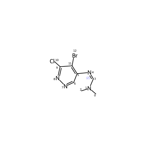 CN(C)/C=N\c1cnnc(Cl)c1Br